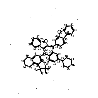 CC1(C)c2c3c(cc4c2N(c2cc(C5CCCCC5)cc5c2B4c2c(oc4ccccc24)N5c2ccc4c(c2)oc2ccccc24)C1(C)C)CCCC3